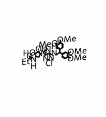 CCC(=O)N[C@H]1C[C@@H](n2cnc3c(NCC(c4ccc(OC)c(OC)c4)c4ccc(OC)c(OC)c4)nc(Cl)nc32)[C@H](O)[C@@H]1O